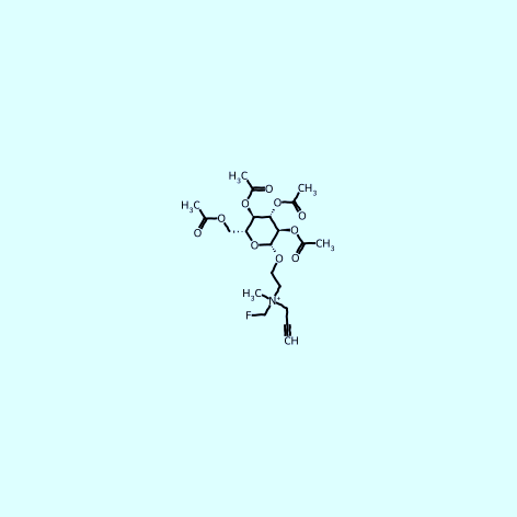 C#CC[N+](C)(CF)CCO[C@@H]1O[C@H](COC(C)=O)[C@@H](OC(C)=O)[C@H](OC(C)=O)[C@H]1OC(C)=O